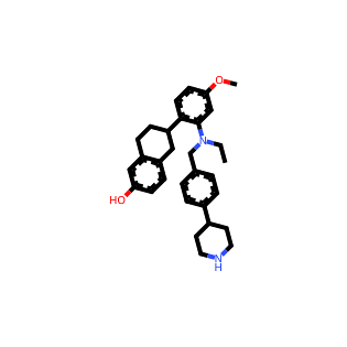 CCN(Cc1ccc(C2CCNCC2)cc1)c1cc(OC)ccc1C1CCc2cc(O)ccc2C1